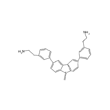 C=S1c2ccc(-c3cccc(CCN)c3)cc2-c2cc(-c3cccc(CCN)c3)ccc21